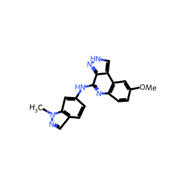 COc1ccc2nc(Nc3ccc4cnn(C)c4c3)c3n[nH]cc3c2c1